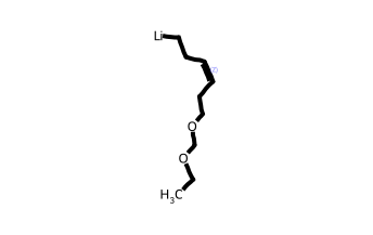 [Li][CH2]C/C=C\CCOCOCC